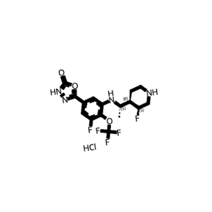 C[C@H](Nc1cc(-c2n[nH]c(=O)o2)cc(F)c1OC(F)(F)F)[C@H]1CCNC[C@H]1F.Cl